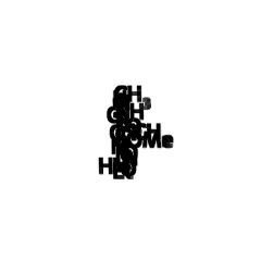 CCNC(=O)c1noc(-c2ccc(Oc3cc(O[C@@H](C)COC)cc(C(=O)Nc4ccn(C)n4)c3)cn2)n1